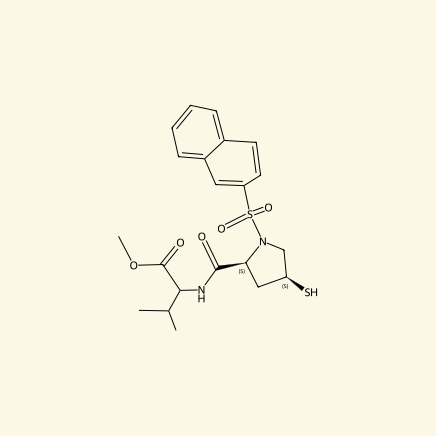 COC(=O)C(NC(=O)[C@@H]1C[C@H](S)CN1S(=O)(=O)c1ccc2ccccc2c1)C(C)C